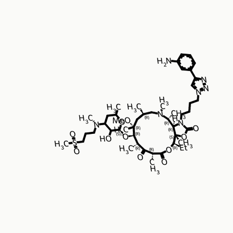 CC[C@H]1OC(=O)[C@H](C)C(=O)[C@H](C)[C@@H](O[C@@H]2OC(C)CC(N(C)CCCS(C)(=O)=O)C2O)[C@](C)(OC)C[C@@H](C)CN(C)[C@H](C)[C@H]2N(CCCCn3cc(-c4cccc(N)c4)nn3)C(=O)O[C@]12C